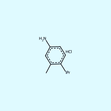 Cc1cc(N)ccc1C(C)C.Cl